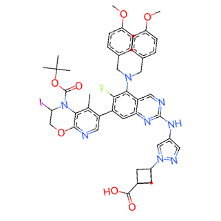 COc1ccc(CN(Cc2ccc(OC)cc2)c2c(F)c(-c3cnc4c(c3C)N(C(=O)OC(C)(C)C)C(I)CO4)cc3nc(Nc4cnn(C56CC(C(=O)O)(C5)C6)c4)ncc23)cc1